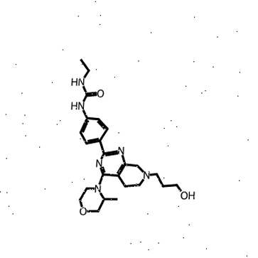 CCNC(=O)Nc1ccc(-c2nc3c(c(N4CCOCC4C)n2)CCN(CCCO)C3)cc1